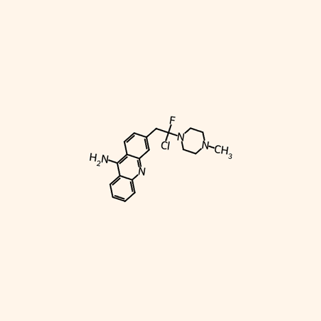 CN1CCN(C(F)(Cl)Cc2ccc3c(N)c4ccccc4nc3c2)CC1